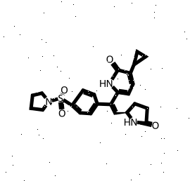 O=C1CC[C@H](C=C(c2ccc(S(=O)(=O)N3CCCC3)cc2)c2ccc(C3CC3)c(=O)[nH]2)N1